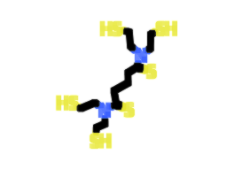 S=C(CCCC(=S)N(CCS)CCS)N(CCS)CCS